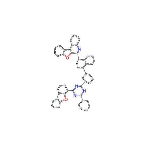 c1ccc(-c2nc(-c3cccc(-c4ccc(-c5nc6ccccc6c6c5oc5ccccc56)c5ccccc45)c3)nc(-c3cccc4c3oc3ccccc34)n2)cc1